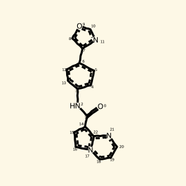 O=C(Nc1ccc(-c2cocn2)cc1)c1ccn2cccnc12